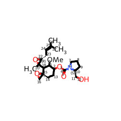 COC1C(OC(=O)N2CCC[C@H]2CO)CC[C@]2(CO2)C1C1(C)O[C@@H]1CC=C(C)C